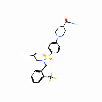 CC(C)CN(Cc1ccccc1C(F)(F)F)S(=O)(=O)c1ccc(N2CCC(C(N)=O)CC2)cc1